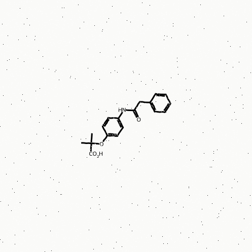 CC(C)(Oc1ccc(NC(=O)Cc2ccccc2)cc1)C(=O)O